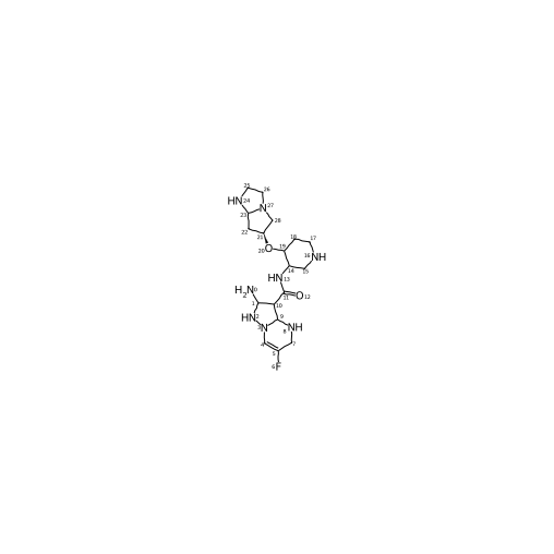 NC1NN2C=C(F)CNC2C1C(=O)NC1CNCCC1O[C@H]1CC2NCCN2C1